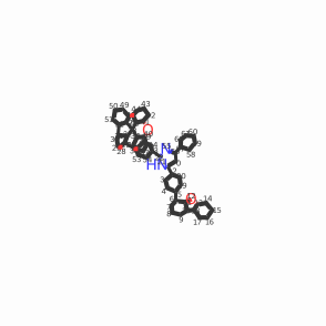 C1=C(c2ccc(-c3cccc4c3oc3ccccc34)cc2)NC(c2ccc(-c3cccc4c3C3(c5ccccc5Oc5ccccc53)c3ccccc3-4)cc2)N=C1c1ccccc1